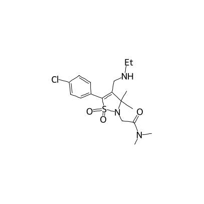 CCNCC1=C(c2ccc(Cl)cc2)S(=O)(=O)N(CC(=O)N(C)C)C1(C)C